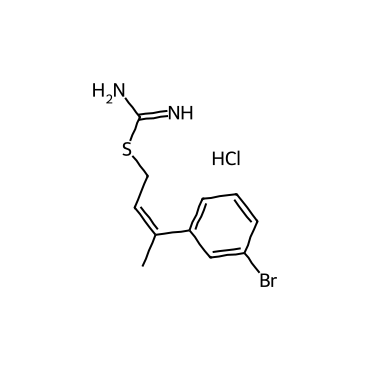 C/C(=C/CSC(=N)N)c1cccc(Br)c1.Cl